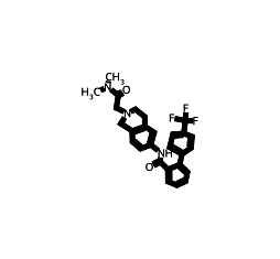 CN(C)C(=O)CN1CCc2cc(NC(=O)c3ccccc3-c3ccc(C(F)(F)F)cc3)ccc2C1